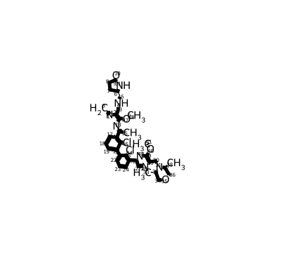 C=N/C(CNC[C@@H]1CCC(=O)N1)=C(\N=C(/C)c1cccc(-c2cccc(-c3cnc(CN4[C@@H](C)COC[C@@H]4C)c(OC)n3)c2Cl)c1Cl)OC